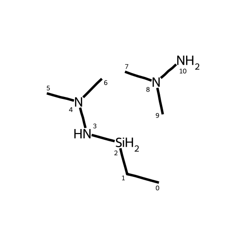 CC[SiH2]NN(C)C.CN(C)N